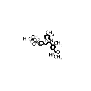 CNC(=O)c1ccc(-c2nc3cc(C)ccn3c2CC2CCN(C(=O)OC(C)(C)C)CC2)c(C)c1